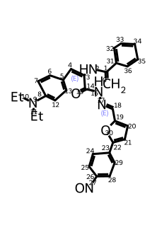 C=C(N/C(=C/c1ccc(N(CC)CC)cc1)C(=O)N/N=C/c1ccc(-c2ccc(N=O)cc2)o1)c1ccccc1